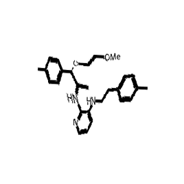 COCCO[C@@H](c1ccc(C)cc1)C(C)Nc1ncccc1NCCc1ccc(C)cc1